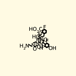 NCCN1CCN(C(=O)NC(C(=O)NC2Cc3ccc(F)c(C(=O)O)c3OB2O)c2c(F)cc(O)cc2F)C(=O)C1=O